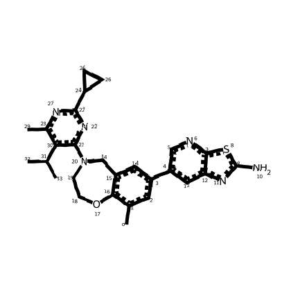 Cc1cc(-c2cnc3sc(N)nc3c2)cc2c1OCCN(c1nc(C3CC3)nc(C)c1C(C)C)C2